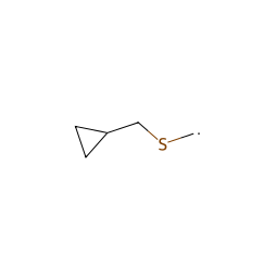 [CH2]SCC1CC1